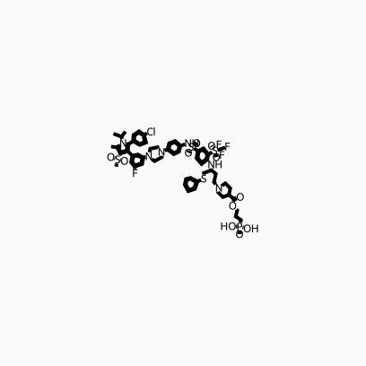 Cc1c(S(C)(=O)=O)c(-c2cc(F)cc(N3CCN(c4ccc(NS(=O)(=O)c5ccc(NC(CCN6CCC(C(=O)OCCCP(=O)(O)O)CC6)CSc6ccccc6)c(S(=O)(=O)C(F)(F)F)c5)cc4)CC3)c2)c(-c2ccc(Cl)cc2)n1C(C)C